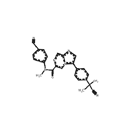 CN(C(=O)c1cn2c(-c3ccc(C(C)(C)C#N)cc3)cnc2cn1)c1ccc(C#N)cc1